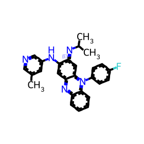 Cc1cncc(Nc2cc3nc4ccccc4n(-c4ccc(F)cc4)c-3c/c2=N\C(C)C)c1